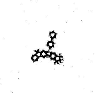 CC1(C)c2ccccc2-c2cc3c4cc5c(cc4n(-c4ccc(-c6ccccn6)cc4)c3cc21)C(C)(C)C(C)(C)C5(C)C